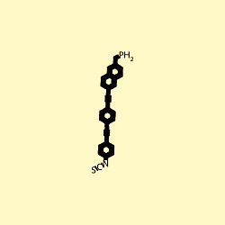 PCc1ccc2cc(C#Cc3ccc(C#Cc4ccc(N=C=S)cc4)cc3)ccc2c1